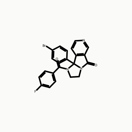 O=C(c1ccc(F)cc1)N1CCN2C(=O)c3cnccc3C12c1ccc(Br)cc1